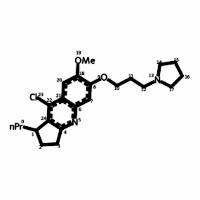 CCCC1CCc2nc3cc(OCCCN4CCCC4)c(OC)cc3c(Cl)c21